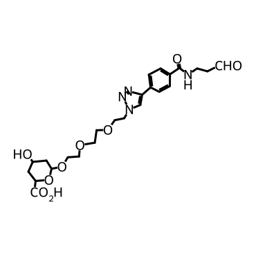 O=CCCNC(=O)c1ccc(-c2cn(CCOCCOCCOC3CC(O)CC(C(=O)O)O3)nn2)cc1